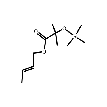 C/C=C/COC(=O)C(C)(C)O[Si](C)(C)C